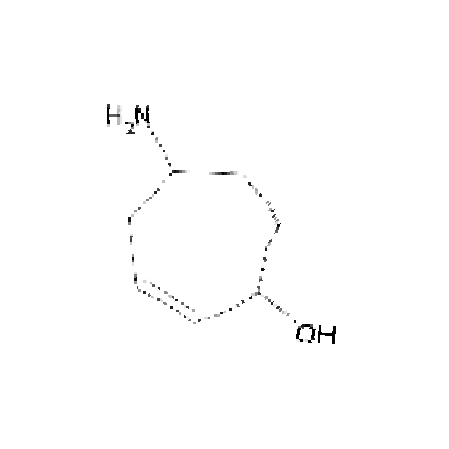 NC1CC=CC(O)CC1